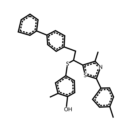 Cc1ccc(-c2nc(C)c(C(Cc3ccc(-c4ccccc4)cc3)Sc3ccc(O)c(C)c3)s2)cc1